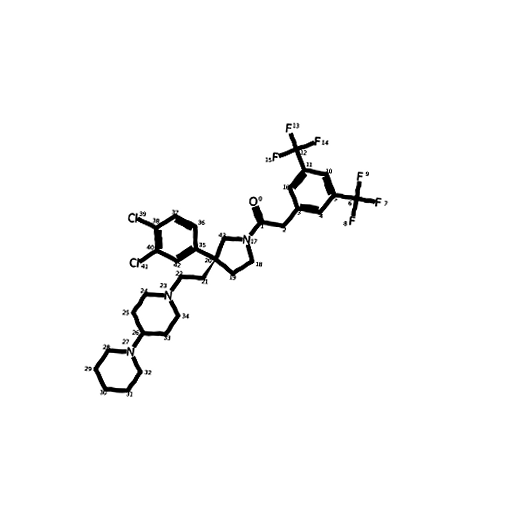 O=C(Cc1cc(C(F)(F)F)cc(C(F)(F)F)c1)N1CC[C@](CCN2CCC(N3CCCCC3)CC2)(c2ccc(Cl)c(Cl)c2)C1